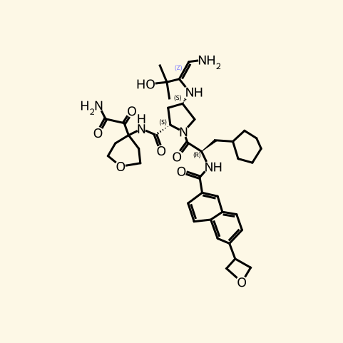 CC(C)(O)/C(=C/N)N[C@H]1C[C@@H](C(=O)NC2(C(=O)C(N)=O)CCOCC2)N(C(=O)[C@@H](CC2CCCCC2)NC(=O)c2ccc3cc(C4COC4)ccc3c2)C1